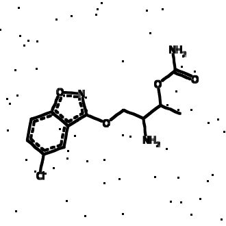 CC(OC(N)=O)C(N)COc1noc2ccc(Cl)cc12